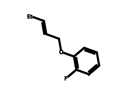 CCC=CCOc1ccc[c]c1F